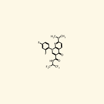 CN(C)c1ccc2c(=O)c(C(=O)NC(C(F)(F)F)C(F)(F)F)cn(-c3ccc(F)cc3F)c2n1